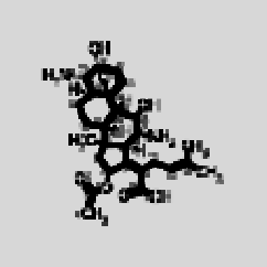 CC(=O)O[C@H]1C[C@@]2(C)[C@H](/C1=C(\CC=C(C)C)C(=O)O)[C@H](N)[C@@H](O)[C@H]1[C@@]3(C)CC[C@@H](O)[C@@H](N)[C@@H]3CC[C@@]12N